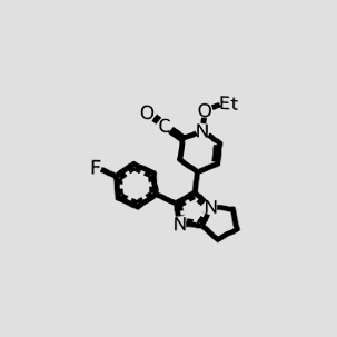 CCON1C=CC(c2c(-c3ccc(F)cc3)nc3n2CCC3)CC1=C=O